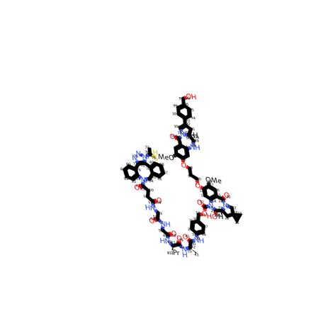 COc1cc2c(cc1OCCCOc1cc3c(cc1OC)C(=O)N1CC4(CC4)C[C@H]1C(O)N3C(=O)OCc1ccc(NC(=O)[C@H](C)NC(=O)[C@@H](NC(=O)CNC(=O)CNC(=O)CCC(=O)N3Cc4ccccc4-c4c(nnn4C(C)S)-c4ccccc43)C(C)C)cc1)NC[C@@H]1CC(c3ccc(CO)cc3)=CN1C2=O